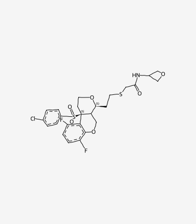 O=C(CSCC[C@@H]1OCC[C@@]2(S(=O)(=O)c3ccc(Cl)cc3)c3c(F)ccc(F)c3OCC12)NC1COC1